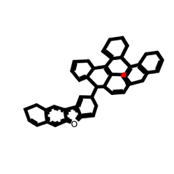 C1=CCC2C(=C1)C(C1C=c3c(oc4cc5c(cc34)CCC=C5)=CC1)C1C=CC=CC1=C2C1=CCCCC1C1=CCCC2=C1CCC=C2